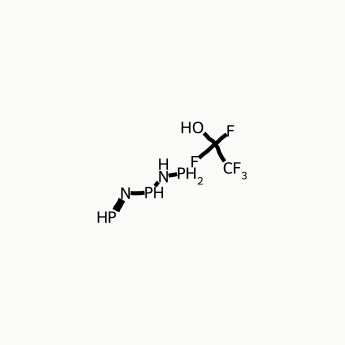 OC(F)(F)C(F)(F)F.P=NPNP